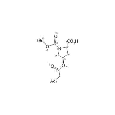 CC(=O)CC(=O)O[C@@H]1C[C@@H](C(=O)O)N(C(=O)OC(C)(C)C)C1